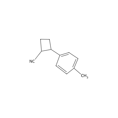 Cc1ccc(C2CCC2C#N)cc1